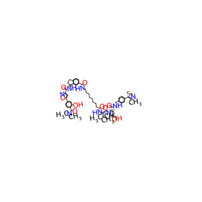 Cc1ncsc1-c1ccc(CNC(=O)[C@@H]2C[C@@H](O)CN2C(=O)[C@@H](NC(=O)CCCCCCCCNC(=O)c2ccc3c(c2)[C@H](NC(=O)c2cc(-c4ccc(C(=O)N(C)C)c(O)c4)on2)CC3)C(C)(C)C)cc1